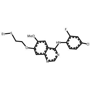 CCSCCOc1cc2ncnc(Nc3ccc(Cl)cc3F)c2cc1OC